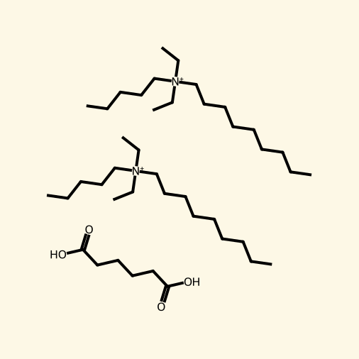 CCCCCCCCC[N+](CC)(CC)CCCCC.CCCCCCCCC[N+](CC)(CC)CCCCC.O=C(O)CCCCC(=O)O